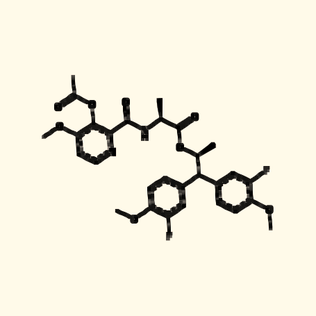 COc1ccc(C(c2ccc(OC)c(F)c2)[C@H](C)OC(=O)[C@H](C)NC(=O)c2nccc(OC)c2OC(C)=O)cc1F